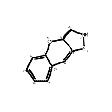 C1=C2SNCC2Oc2ccccc21